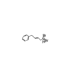 Br[SiH](Br)CC=CCc1ccccc1